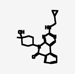 CC1(O)CCC(n2c(=O)c3ccccc3c3cnc(NCC4CC4)nc32)CC1